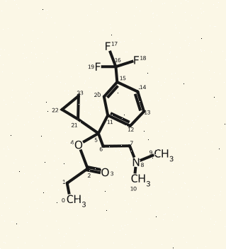 CCC(=O)OC(CCN(C)C)(c1cccc(C(F)(F)F)c1)C1CC1